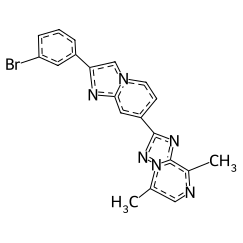 Cc1ncc(C)n2nc(-c3ccn4cc(-c5cccc(Br)c5)nc4c3)nc12